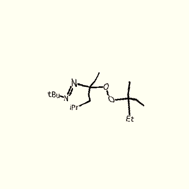 CCC(C)(C)OOC(C)(CC(C)C)N=NC(C)(C)C